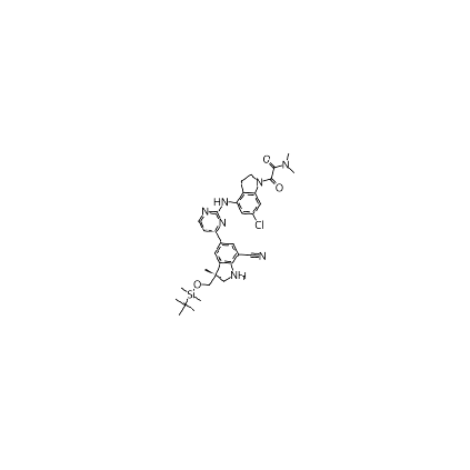 CN(C)C(=O)C(=O)N1CCc2c(Nc3nccc(-c4cc(C#N)c5c(c4)[C@@](C)(CO[Si](C)(C)C(C)(C)C)CN5)n3)cc(Cl)cc21